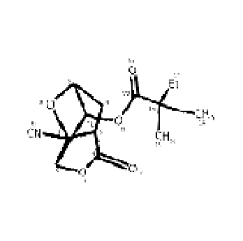 [C-]#[N+]C12OC3CC1C(=O)OC2C3OC(=O)C(C)(C)CC